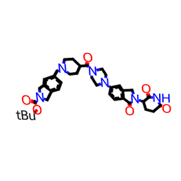 CC(C)(C)OC(=O)N1Cc2ccc(CN3CCC(C(=O)N4CCN(c5ccc6c(c5)CN(C5CCC(=O)NC5=O)C6=O)CC4)CC3)cc2C1